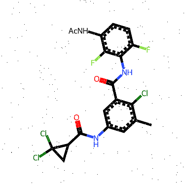 CC(=O)Nc1ccc(F)c(NC(=O)c2cc(NC(=O)C3CC3(Cl)Cl)cc(C)c2Cl)c1F